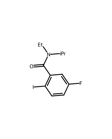 CCN(C(=O)c1cc(F)ccc1I)C(C)C